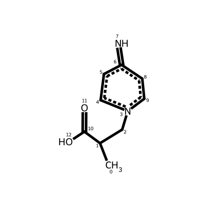 CC(Cn1ccc(=N)cc1)C(=O)O